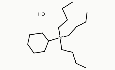 CCCC[N+](CCCC)(CCCC)C1CCCCC1.[OH-]